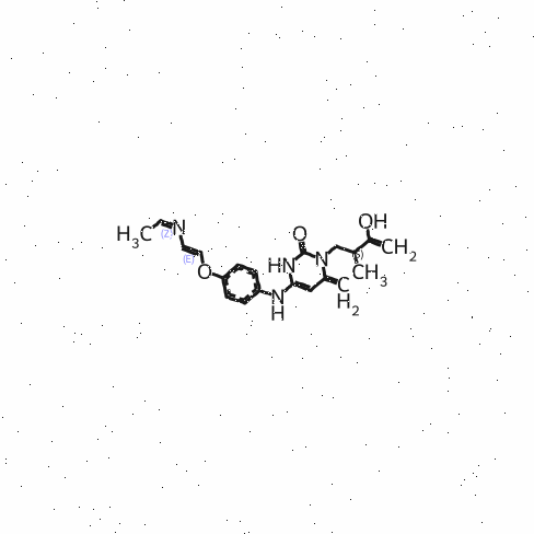 C=C(O)[C@@H](C)CN1C(=C)C=C(Nc2ccc(O/C=C/N=C\C)cc2)NC1=O